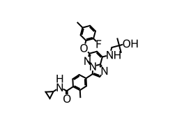 Cc1ccc(F)c(Oc2cc(NCC(C)(C)O)c3ncc(-c4ccc(C(=O)NC5CC5)c(C)c4)n3n2)c1